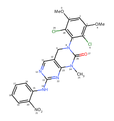 COc1cc(OC)c(Cl)c(N2Cc3cnc(Nc4ccccc4[N+](=O)[O-])nc3N(C)C2=O)c1Cl